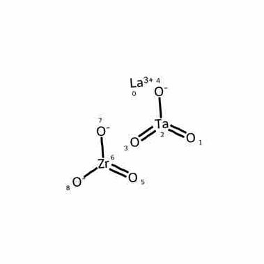 [La+3].[O]=[Ta](=[O])[O-].[O]=[Zr]([O-])[O-]